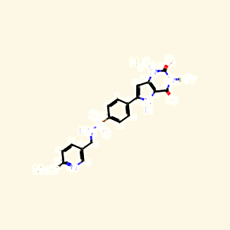 CCCn1c(=O)c2[nH]c(-c3ccc(S(=O)(=O)NCc4ccc(OC)nc4)cc3)cc2n(C)c1=O